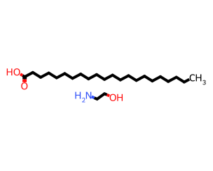 CCCCCCCCCCCCCCCCCCCCCC(=O)O.NCCO